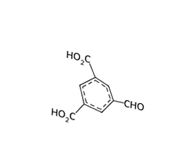 O=Cc1cc(C(=O)O)cc(C(=O)O)c1